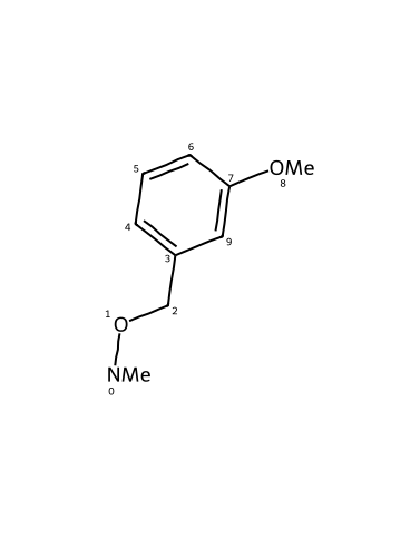 CNOCc1cccc(OC)c1